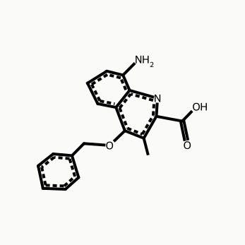 Cc1c(C(=O)O)nc2c(N)cccc2c1OCc1ccccc1